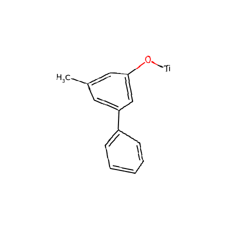 Cc1cc([O][Ti])cc(-c2ccccc2)c1